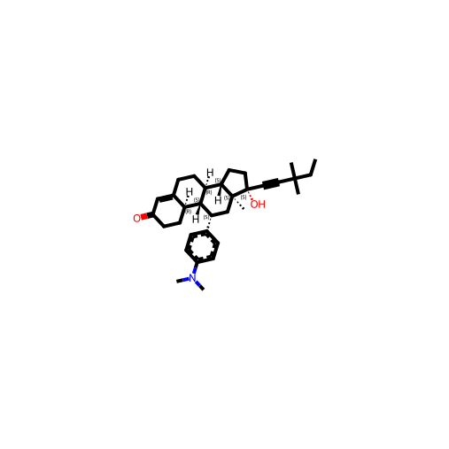 CCC(C)(C)C#C[C@]1(O)CC[C@H]2[C@@H]3CCC4=CC(=O)CC[C@@H]4[C@H]3[C@@H](c3ccc(N(C)C)cc3)C[C@@]21C